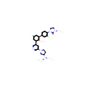 CN1CCN(c2ccc(-c3cc(F)cc(-c4cncc(N5CC[C@H](N(C)C)C5)c4)c3O)cc2Cl)C1=O